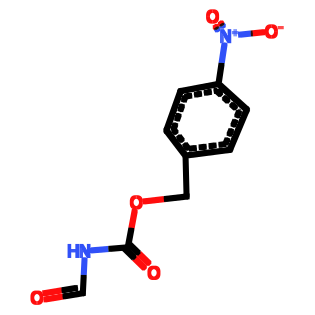 O=CNC(=O)OCc1ccc([N+](=O)[O-])cc1